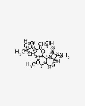 COCC1=C(C(=O)OC(C)OC(=O)C(C)(C)C)N2C(=O)C(N)[C@H]2SC1.Cl